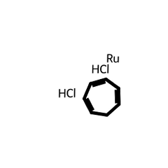 C1=CC=CCC=C1.Cl.Cl.[Ru]